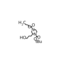 C=CCOC(=O)N1CCN(C(=O)OC(C)(C)C)C(CCCO)C1